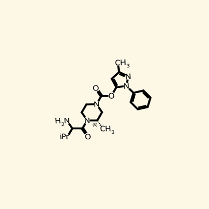 Cc1cc(OC(=O)N2CCN(C(=O)C(N)C(C)C)[C@@H](C)C2)n(-c2ccccc2)n1